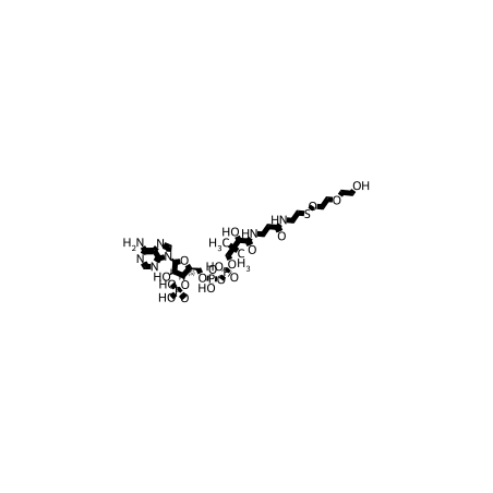 CC(C)(COP(=O)(O)OP(=O)(O)OC[C@@H]1O[C@H](n2cnc3c(N)ncnc32)[C@@H](O)[C@H]1OP(=O)(O)O)C(O)C(=O)NCCC(=O)NCCSOCCOCCO